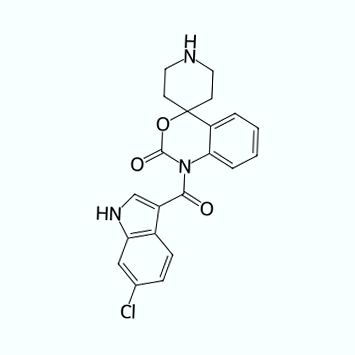 O=C1OC2(CCNCC2)c2ccccc2N1C(=O)c1c[nH]c2cc(Cl)ccc12